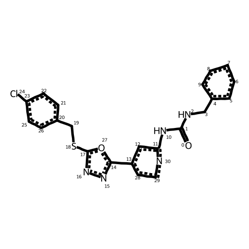 O=C(NCc1ccccc1)Nc1cc(-c2nnc(SCc3ccc(Cl)cc3)o2)ccn1